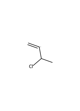 C=[C]C(C)Cl